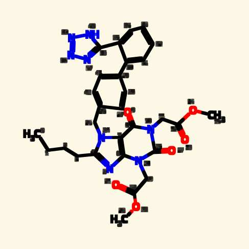 CCCCc1nc2c(c(=O)n(CC(=O)OC)c(=O)n2CC(=O)OC)n1Cc1ccc(-c2ccccc2-c2nnn[nH]2)cc1